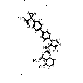 Cc1nsc(-c2ccc(-c3ccc(C4(C(=O)O)CC4)cc3)cc2)c1NC(=O)OC(C)C1=C(Cl)CCCC1